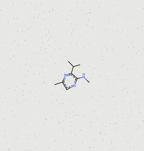 CNc1ncc(C)nc1C(C)C